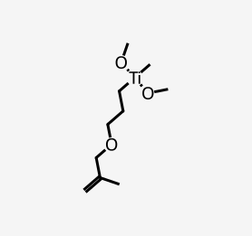 C=C(C)COCC[CH2][Ti]([CH3])([O]C)[O]C